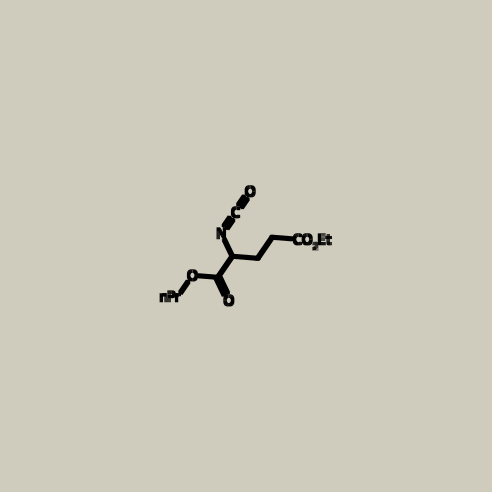 CCCOC(=O)C(CCC(=O)OCC)N=C=O